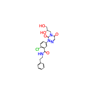 O=C(NCCc1ccccc1)c1cc(-n2ncc(=O)n(CC(O)CO)c2=O)ccc1Cl